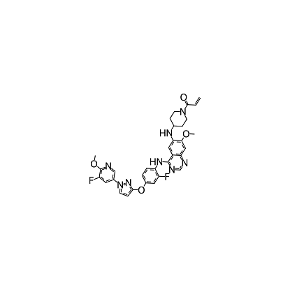 C=CC(=O)N1CCC(Nc2cc3c(Nc4ccc(Oc5ccn(-c6cnc(OC)c(F)c6)n5)cc4F)ncnc3cc2OC)CC1